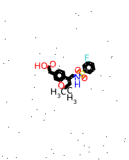 CC1(C)CC(CNS(=O)(=O)c2cccc(F)c2)c2ccc(CC(=O)O)cc2O1